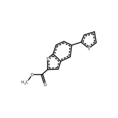 COC(=O)c1cc2cc(-c3cccs3)ccc2s1